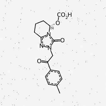 Cc1ccc(C(=O)Cn2nc3n(c2=O)[C@@H](OC(=O)O)CCC3)cc1